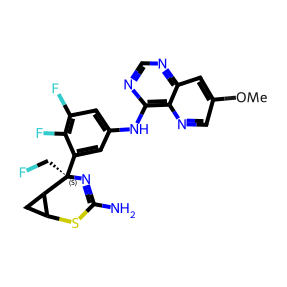 COc1cnc2c(Nc3cc(F)c(F)c([C@@]4(CF)N=C(N)SC5CC54)c3)ncnc2c1